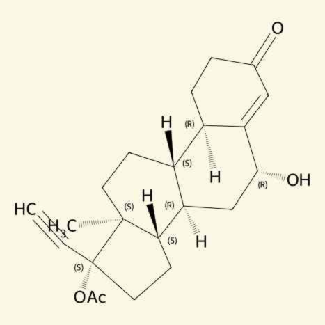 C#C[C@]1(OC(C)=O)CC[C@H]2[C@@H]3C[C@@H](O)C4=CC(=O)CC[C@@H]4[C@H]3CC[C@@]21C